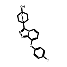 OC12CCC(c3nnc4c(Oc5ccc(Cl)cc5)cccn34)(CC1)CC2